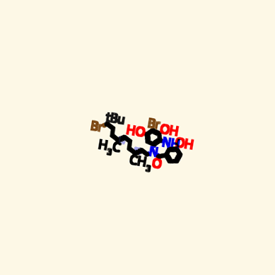 C/C(=C\CN1C(=O)c2cccc(O)c2Nc2c1cc(O)c(Br)c2O)CC/C=C(\C)CCC(Br)C(C)(C)C